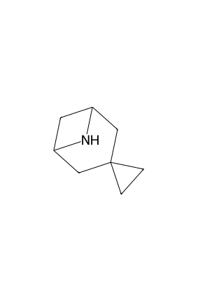 C1C2CC3(CC3)CC1N2